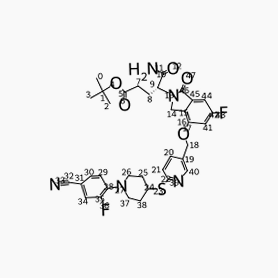 CC(C)(C)OC(=O)CC[C@H](C(N)=O)N1Cc2c(OCc3ccc(SC4CCN(c5ccc(C#N)cc5F)CC4)nc3)cc(F)cc2C1=O